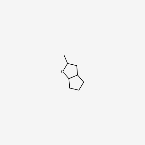 CC1CC2CCCC2O1